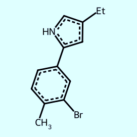 CCc1c[nH]c(-c2ccc(C)c(Br)c2)c1